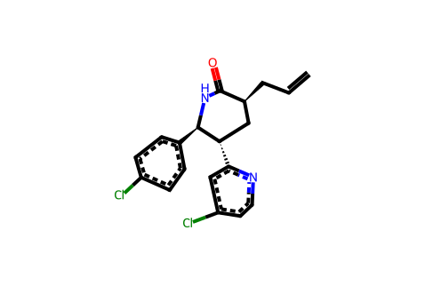 C=CC[C@H]1C[C@H](c2cc(Cl)ccn2)[C@@H](c2ccc(Cl)cc2)NC1=O